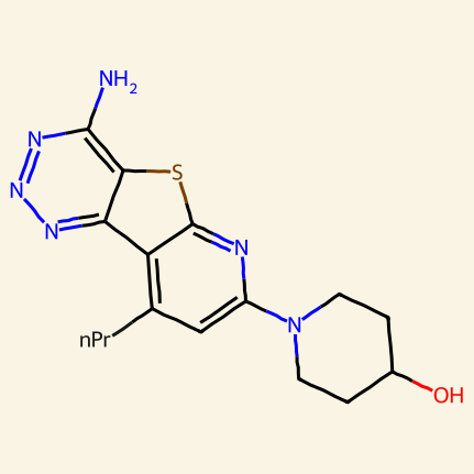 CCCc1cc(N2CCC(O)CC2)nc2sc3c(N)nnnc3c12